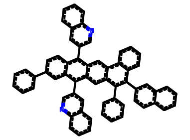 c1ccc(-c2ccc3c(-c4cnc5ccccc5c4)c4cc5c(cc4c(-c4cnc6ccccc6c4)c3c2)c(-c2ccccc2)c(-c2ccc3ccccc3c2)c2ccccc25)cc1